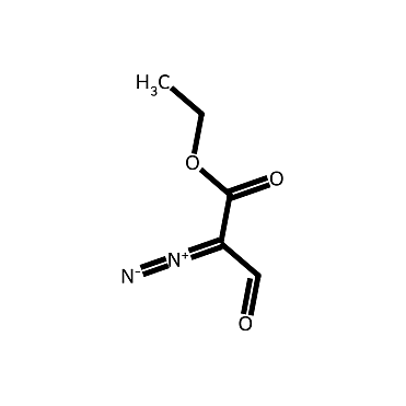 CCOC(=O)C(C=O)=[N+]=[N-]